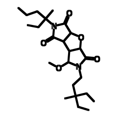 CCCC(C)(CC)N1C(=O)C2OC3C(=O)N(CCC(C)(CC)CC)C(OC)C3C2C1=O